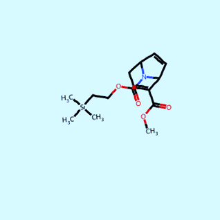 COC(=O)C1=CCC2C=CC1N2C(=O)OCC[Si](C)(C)C